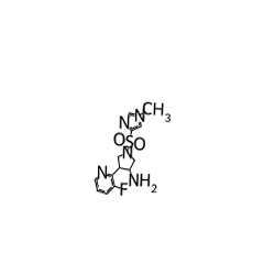 Cn1cnc(S(=O)(=O)N2CC(N)C(c3ncccc3F)C2)c1